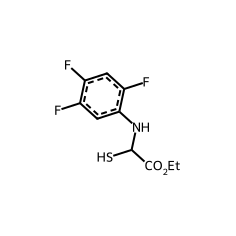 CCOC(=O)C(S)Nc1cc(F)c(F)cc1F